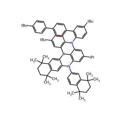 CC(C)c1cc2c3c(c1)N(c1ccc(C(C)(C)C)cc1-c1ccc(-c4ccc(C(C)(C)C)cc4)cc1)c1ccc(C(C)(C)C)cc1B3c1cc3c(cc1N2c1ccc2c(c1)C(C)(C)CCC2(C)C)C(C)(C)CCC3(C)C